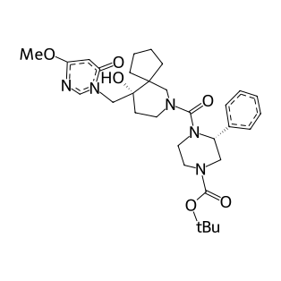 COc1cc(=O)n(C[C@]2(O)CCN(C(=O)N3CCN(C(=O)OC(C)(C)C)C[C@H]3c3ccccc3)CC23CCCC3)cn1